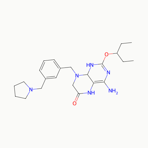 CCC(CC)OC1=NC(N)=C2NC(=O)CN(Cc3cccc(CN4CCCC4)c3)C2N1